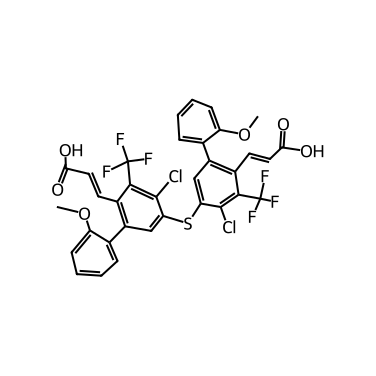 COc1ccccc1-c1cc(Sc2cc(-c3ccccc3OC)c(C=CC(=O)O)c(C(F)(F)F)c2Cl)c(Cl)c(C(F)(F)F)c1C=CC(=O)O